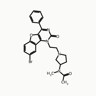 CC(=O)N(C)C1CCN(CCn2c(=O)nc(-c3ccccc3)c3oc4ccc(Br)cc4c32)C1